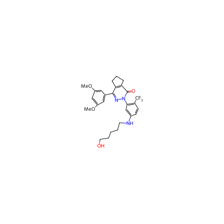 COc1cc(OC)cc(-c2nn(-c3cc(NCCCCCO)ccc3C(F)(F)F)c(=O)c3c2CCC3)c1